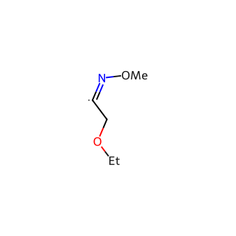 CCOC/[C]=N\OC